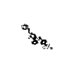 COC(=O)c1ccc(Cn2c3c(c4ccccc42)C(=O)N(CCN2CCOCC2)CC3)cc1